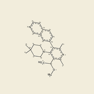 Cc1nc(C)c(C(OC(C)(C)C)C(=O)O)c(N2CCC(C)(C)CC2)c1-c1ccc2ccncc2c1